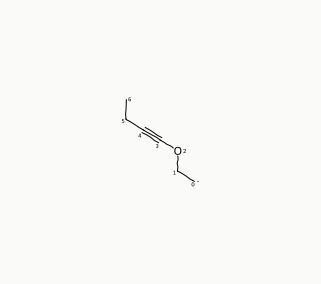 [CH2]COC#CCC